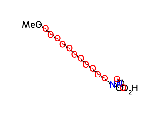 COCCOCCOCCOCCOCCOCCOCCOCCOCCOCCOCCOCCCN1CC(C(=O)O)(N2C(=O)C=CC2=O)C1